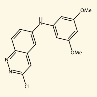 COc1cc(Nc2ccc3nnc(Cl)cc3c2)cc(OC)c1